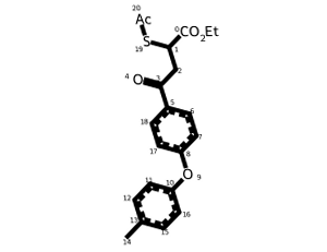 CCOC(=O)C(CC(=O)c1ccc(Oc2ccc(C)cc2)cc1)SC(C)=O